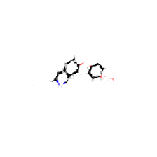 O=C(O)c1cc2ccc(Oc3ccc(O)cc3)cc2cn1